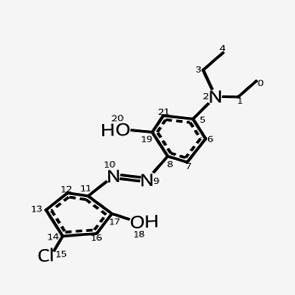 CCN(CC)c1ccc(N=Nc2ccc(Cl)cc2O)c(O)c1